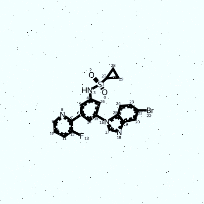 O=S(=O)(Nc1cc(-c2ncccc2F)cc(-n2cnc3cc(Br)ccc32)c1)C1CC1